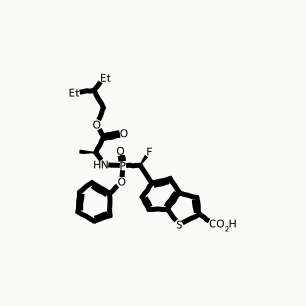 CCC(CC)COC(=O)[C@H](C)NP(=O)(Oc1ccccc1)[C@@H](F)c1ccc2sc(C(=O)O)cc2c1